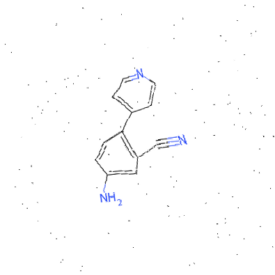 N#Cc1cc(N)ccc1-c1ccncc1